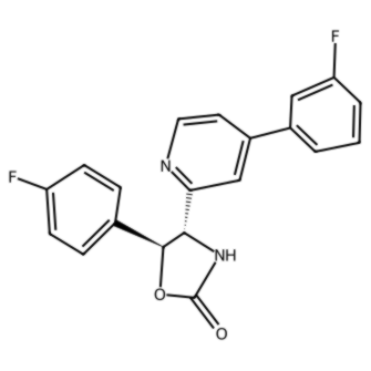 O=C1N[C@@H](c2cc(-c3cccc(F)c3)ccn2)[C@H](c2ccc(F)cc2)O1